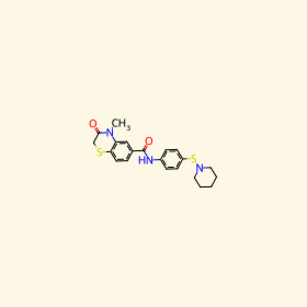 CN1C(=O)CSc2ccc(C(=O)Nc3ccc(SN4CCCCC4)cc3)cc21